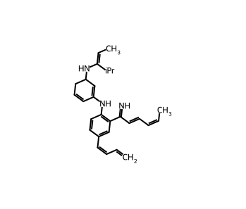 C=C/C=C\c1ccc(NC2=CC(N/C(=C/C)C(C)C)CC=C2)c(C(=N)/C=C/C=C\C)c1